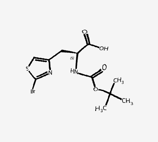 CC(C)(C)OC(=O)N[C@@H](Cc1csc(Br)n1)C(=O)O